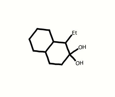 CCC1C2CCCCC2CCC1(O)O